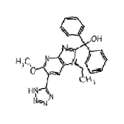 CCn1c(C(O)(c2ccccc2)c2ccccc2)nc2nc(OC)c(-c3nnn[nH]3)cc21